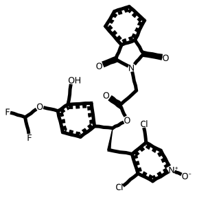 O=C(CN1C(=O)c2ccccc2C1=O)O[C@@H](Cc1c(Cl)c[n+]([O-])cc1Cl)c1ccc(OC(F)F)c(O)c1